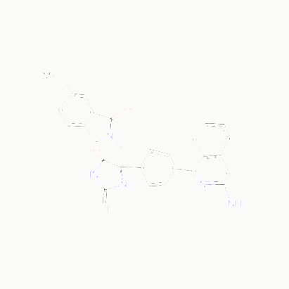 C=C1NC(=O)[C@@](CN2Cc3ccc(OC)cc3C2=O)(c2ccc(-c3nc(N)cc4ccccc34)cc2)N1